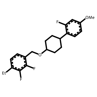 CCc1ccc(COC2CCC(c3ccc(OC)cc3F)CC2)c(F)c1F